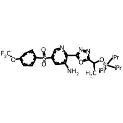 CC(O[Si](C(C)C)(C(C)C)C(C)C)c1nnc(-c2ncc(S(=O)(=O)c3ccc(OC(F)(F)F)cc3)cc2N)o1